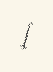 CCCCCCCCCCCCCCCCC(Cl)=C(Cl)Cl